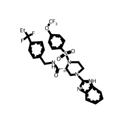 CCC(F)(F)c1ccc(CNC(=O)[C@H]2CN(c3nc4ccccc4[nH]3)CCN2S(=O)(=O)c2ccc(OC(F)(F)F)cc2)cc1